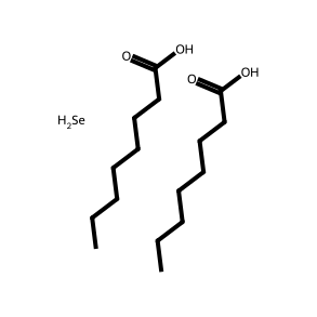 CCCCCCCC(=O)O.CCCCCCCC(=O)O.[SeH2]